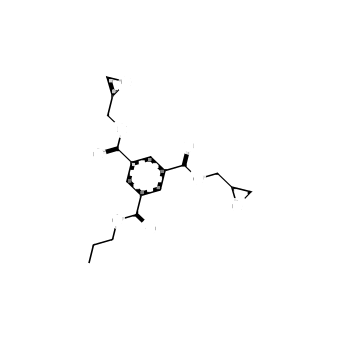 CCCOC(=O)c1cc(C(=O)OCC2=CO2)cc(C(=O)OCC2CO2)c1